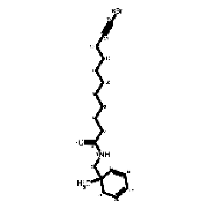 CC1(CNC(=O)CCCCCCCCC#CBr)C=CC=CC1